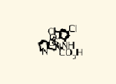 O=C(O)C1Nc2cc(Cl)cc(Cl)c2S(=O)(=O)N1Cc1ccccn1